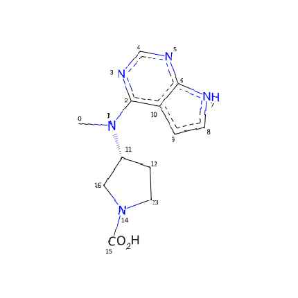 CN(c1ncnc2[nH]ccc12)[C@@H]1CCN(C(=O)O)C1